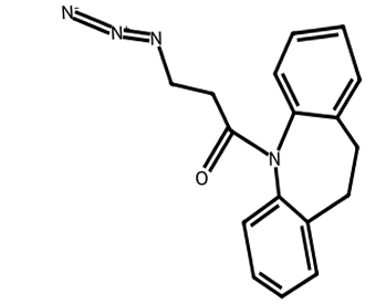 [N-]=[N+]=NCCC(=O)N1c2ccccc2CCc2ccccc21